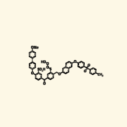 COc1ccc(-c2ccc(Oc3ccc(C(=O)c4ccc(COc5ccc6cc(Oc7ccc(S(=O)(=O)c8ccc(C)cc8)cc7)ccc6c5)c(SOOO)c4)cc3S(=O)(=O)O)cc2)cc1